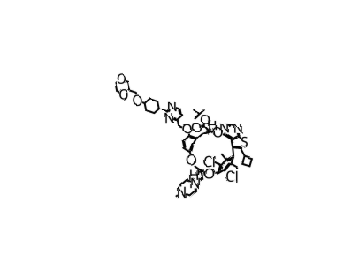 Cc1c(Cl)c2c(Cl)c(C)c1-c1c(C3CCC3)sc3ncnc(c13)O[C@@H](C(=O)OC(C)(C)C)Cc1cc(ccc1OCc1ccnc(C3CCC(OCC4COCCO4)CC3)n1)OC[C@@H](CN1CCN(C)CC1)O2